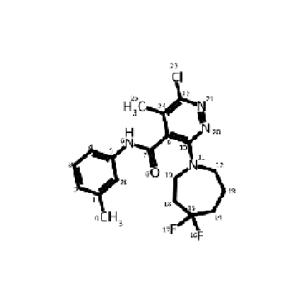 Cc1cccc(NC(=O)c2c(N3CCCC(F)(F)CC3)nnc(Cl)c2C)c1